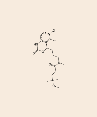 COC(C)(C)CCC(=O)N(C)CCCC1OC(=O)Nc2ccc(Cl)c(F)c21